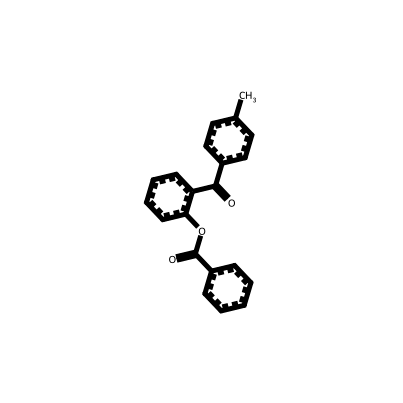 Cc1ccc(C(=O)c2ccccc2OC(=O)c2ccccc2)cc1